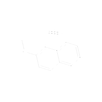 C=O.COc1ccc2ccccc2c1